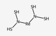 S[N](S)[Re][N](S)S